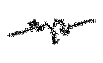 Cc1cc(N(CCOCC(C)OCC(C)OCC(C)OCC(C)OCC(C)OCC(C)OCC(C)OCCOCCOCCOCCO)CCOCC(C)OCC(C)OCC(C)OCC(C)OCC(C)OCC(C)OCC(C)OCCOCCOCCOCCO)ccc1/N=N/c1scc[n+]1C